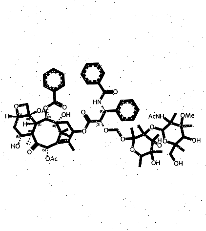 COC1(C)C(O)C(C)(CO)OC(OC2(C)C(C)(OCO[C@H](C(=O)OC3C[C@]4(O)[C@H](OC(=O)c5ccccc5)[C@H]5[C@@]6(OC(C)=O)CO[C@H]6C[C@@H](O)[C@]5(C)C(=O)[C@@H](OC(C)=O)C(=C3C)C4(C)C)[C@H](NC(=O)c3ccccc3)c3ccccc3)OC(C)C(C)(O)C2(C)O)C1(C)NC(C)=O